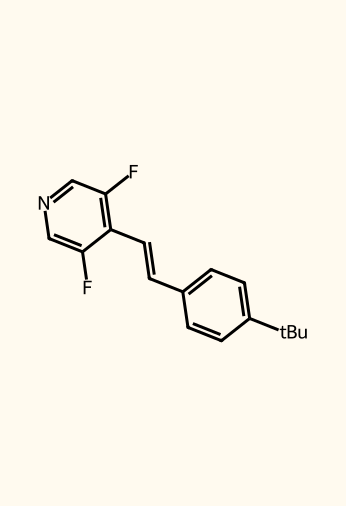 CC(C)(C)c1ccc(C=Cc2c(F)cncc2F)cc1